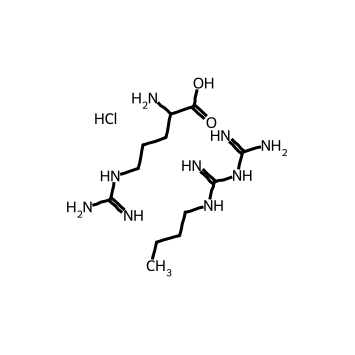 CCCCNC(=N)NC(=N)N.Cl.N=C(N)NCCCC(N)C(=O)O